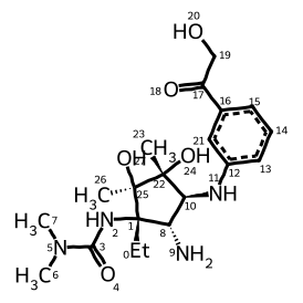 CC[C@]1(NC(=O)N(C)C)[C@@H](N)[C@H](Nc2cccc(C(=O)CO)c2)[C@@](C)(O)[C@]1(C)O